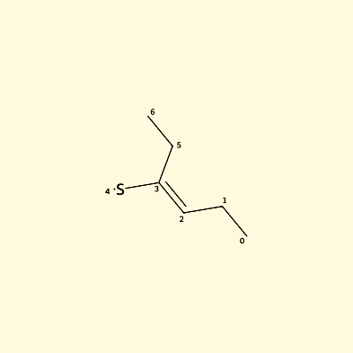 CC/C=C(/[S])CC